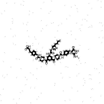 NC(=O)N[C@@H](Cc1ccc(NC(=O)N2CCN(C(=O)c3cc(NC(=O)Cn4cc(CCCF)nn4)cc(C(=O)N4CCN(C(=O)Nc5ccc(CCC(=O)O)cc5)CC4)c3)CC2)cc1)C(=O)O